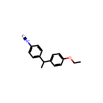 [C-]#[N+]c1ccc(C(C)c2ccc(OCC)cc2)cc1